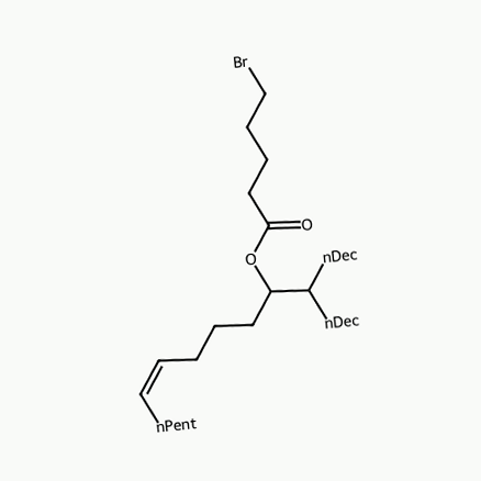 CCCCC/C=C\CCCC(OC(=O)CCCCBr)C(CCCCCCCCCC)CCCCCCCCCC